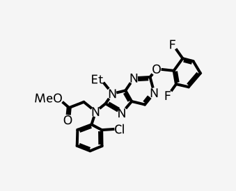 CCn1c(N(CC(=O)OC)c2ccccc2Cl)nc2cnc(Oc3c(F)cccc3F)nc21